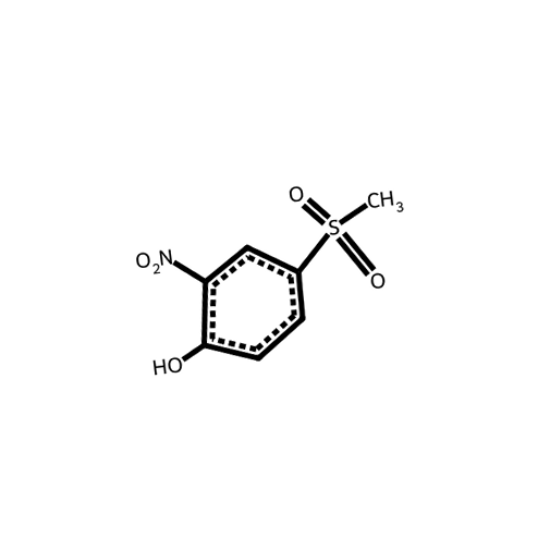 CS(=O)(=O)c1ccc(O)c([N+](=O)[O-])c1